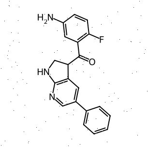 Nc1ccc(F)c(C(=O)C2CNc3ncc(-c4ccccc4)cc32)c1